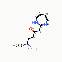 N[C@@H](CCC(=O)CC1=NC=CC=CN1)C(=O)O